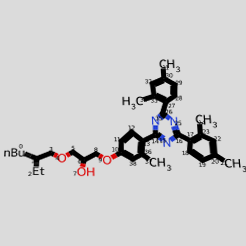 CCCCC(CC)COCC(O)COc1ccc(-c2nc(-c3ccc(C)cc3C)nc(-c3ccc(C)cc3C)n2)c(C)c1